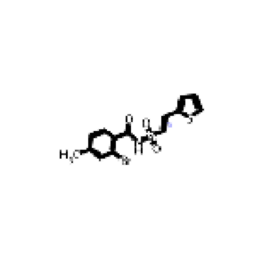 Cc1ccc(C(=O)NS(=O)(=O)/C=C/c2cccs2)c(Br)c1